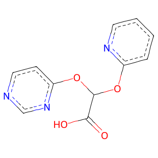 O=C(O)C(Oc1ccccn1)Oc1ccncn1